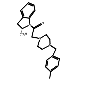 Cc1ccc(CN2CCN(CC(=O)N3c4ccccc4C[C@H]3C(=O)O)CC2)cc1